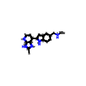 CCC(C)NCc1ccc2[nH]c(-c3ccnc4[nH]c(C)nc34)cc2c1